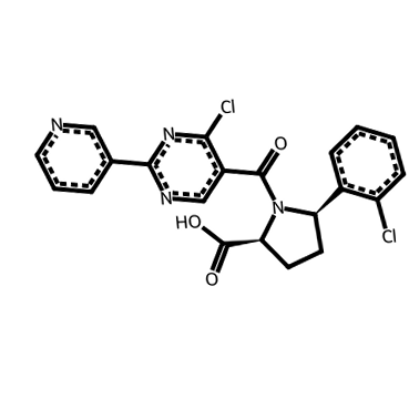 O=C(O)[C@@H]1CC[C@H](c2ccccc2Cl)N1C(=O)c1cnc(-c2cccnc2)nc1Cl